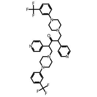 O=C(C(CN1CCN(c2cccc(C(F)(F)F)c2)CC1)c1ccncc1)C(CN1CCN(c2cccc(C(F)(F)F)c2)CC1)c1ccncc1